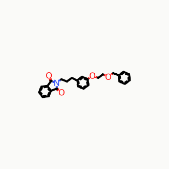 O=C1c2ccccc2C(=O)N1CCCc1cccc(OCCOCc2ccccc2)c1